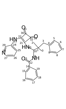 CC(C)(Cc1ccccc1)C(NC(=O)c1ccccc1)Nc1c(Nc2cccnc2)c(=O)c1=O